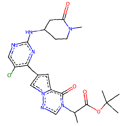 CC(C(=O)OC(C)(C)C)n1cnn2cc(-c3nc(NC4CCN(C)C(=O)C4)ncc3Cl)cc2c1=O